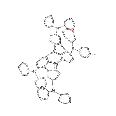 Cc1ccc(N(c2ccccc2)c2ccc3c4c2c2cc(N(c5ccccc5)c5ccccc5)ccc2n4c2ccc(N(c4ccccc4)c4ccccc4)c4c5cc(N(c6ccccc6)c6ccccc6)ccc5n3c42)cc1